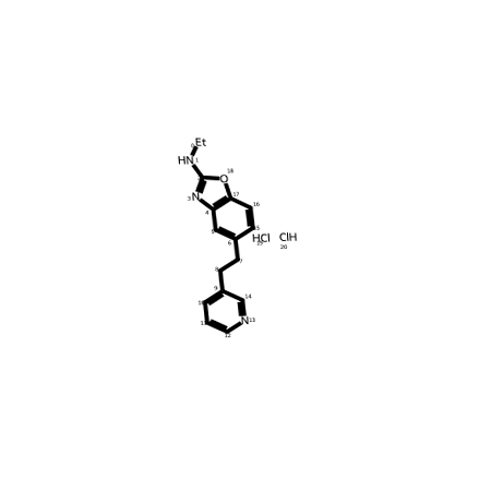 CCNc1nc2cc(CCc3cccnc3)ccc2o1.Cl.Cl